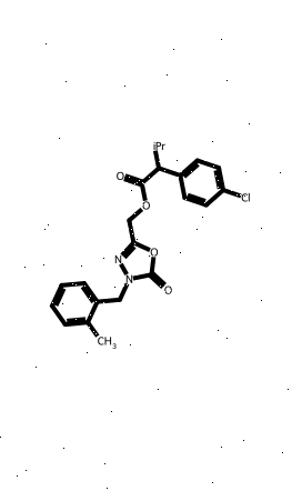 Cc1ccccc1Cn1nc(COC(=O)C(c2ccc(Cl)cc2)C(C)C)oc1=O